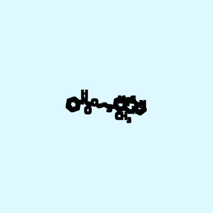 CSc1nccn1Cc1nccc(SCCOC(=O)Nc2ccccc2)c1C